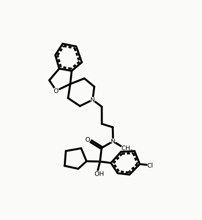 CN(CCCN1CCC2(CC1)OCc1ccccc12)C(=O)C(O)(c1ccc(Cl)cc1)C1CCCC1